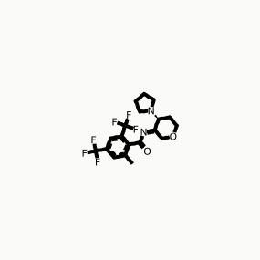 Cc1cc(C(F)(F)F)cc(C(F)(F)F)c1C(=O)/N=C1\COCC[C@H]1N1CCCC1